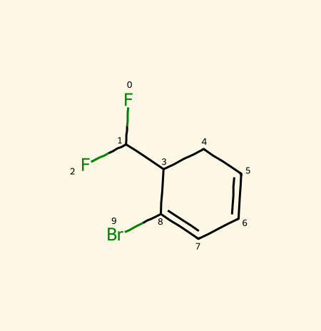 FC(F)C1CC=CC=C1Br